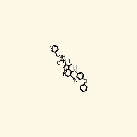 Cc1c(NC(=O)NCc2cccnc2)cn2ncc(C#N)c(Nc3ccc(Oc4ccccc4)cc3)c12